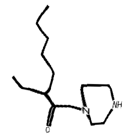 CCCCCC(CC)C(=O)N1CCNCC1